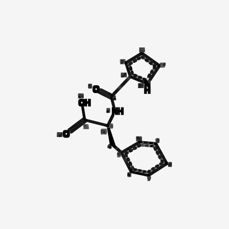 O=C(N[C@@H](Cc1ccccc1)C(=O)O)c1ccc[nH]1